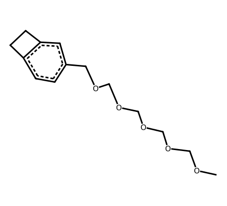 COCOCOCOCOCc1ccc2c(c1)CC2